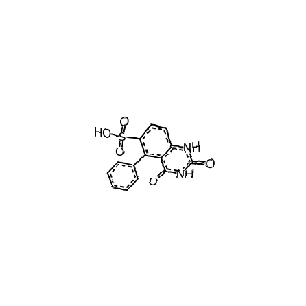 O=c1[nH]c(=O)c2c(-c3ccccc3)c(S(=O)(=O)O)ccc2[nH]1